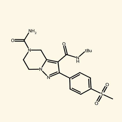 CC(C)(C)NC(=O)c1c(-c2ccc(S(C)(=O)=O)cc2)nn2c1CN(C(N)=O)CC2